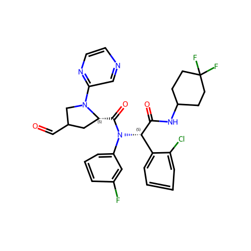 O=CC1C[C@@H](C(=O)N(c2cccc(F)c2)[C@H](C(=O)NC2CCC(F)(F)CC2)c2ccccc2Cl)N(c2cnccn2)C1